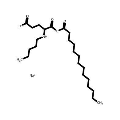 CCCCCCCCCCCCCC(=O)OC(=O)C(CCC(=O)[O-])NCCCCC.[Na+]